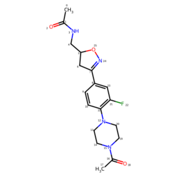 CC(=O)NCC1CC(c2ccc(N3CCN(C(C)=O)CC3)c(F)c2)=NO1